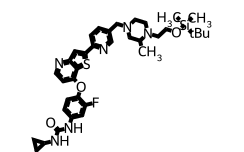 CC1CN(Cc2ccc(-c3cc4nccc(Oc5ccc(NC(=O)NC6CC6)cc5F)c4s3)nc2)CCN1CCO[Si](C)(C)C(C)(C)C